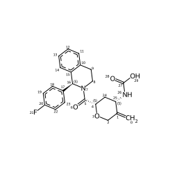 C=C1CO[C@H](C(=O)N2CCc3ccccc3[C@@H]2c2ccc(F)cc2)C[C@@H]1NC(=O)O